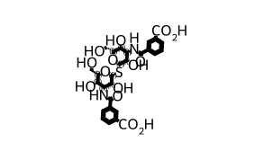 O=C(O)c1cccc(C(=O)N[C@@H]2[C@@H](O)[C@@H](CO)O[C@@H](S[C@@H]3O[C@H](CO)[C@H](O)[C@@H](NC(=O)c4cccc(C(=O)O)c4)[C@H]3O)[C@@H]2O)c1